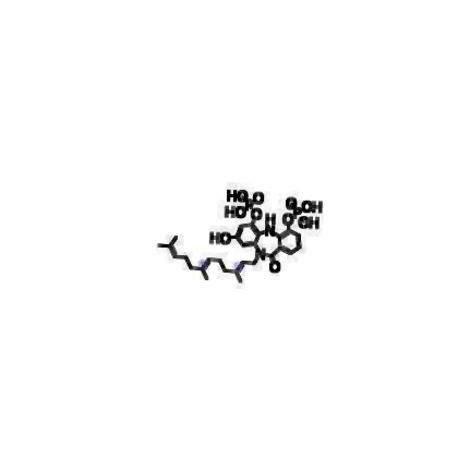 CC(C)=CCC/C(C)=C/CC/C(C)=C/CN1C(=O)c2cccc(OP(=O)(O)O)c2Nc2c(OP(=O)(O)O)cc(O)cc21